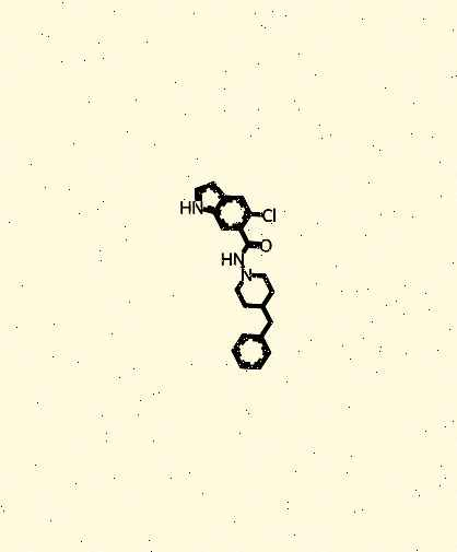 O=C(NN1CCC(Cc2ccccc2)CC1)c1cc2[nH]ccc2cc1Cl